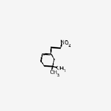 CC1(C)CCC=C(CC[N+](=O)[O-])C1